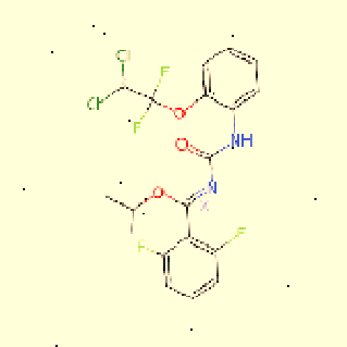 CC(C)O/C(=N\C(=O)Nc1ccccc1OC(F)(F)C(Cl)Cl)c1c(F)cccc1F